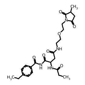 CCC(=O)NC(CC(=O)NCCOCCN1C(=O)CC(C)C1=O)C(=O)NC(=O)c1ccc(CC)cc1